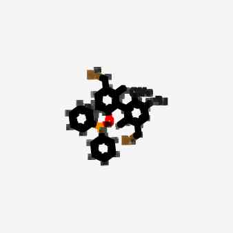 CCCCc1cc(CBr)c(C)c(-c2c(C)c(CBr)cc(CCCC)c2OP(c2ccccc2)c2ccccc2)c1OC